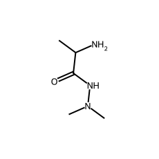 CC(N)C(=O)NN(C)C